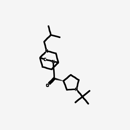 CC(C)CN1CC2CCC1CN2C(=O)[C@@H]1CCN(C(C)(C)C)C1